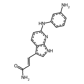 NC(=O)/C=C/c1c[nH]c2nc(Nc3cccc(N)c3)ccc12